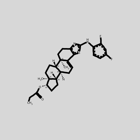 CCC(=O)O[C@H]1CC[C@H]2[C@@H]3CC=C4c5sc(Nc6ccc(F)cc6F)nc5CC[C@]4(C)[C@H]3CC[C@]12C